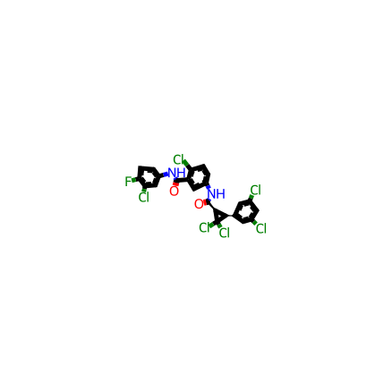 O=C(Nc1ccc(F)c(Cl)c1)c1cc(NC(=O)[C@H]2[C@H](c3cc(Cl)cc(Cl)c3)C2(Cl)Cl)ccc1Cl